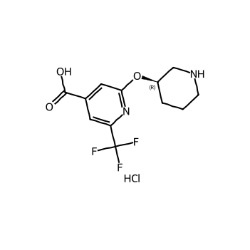 Cl.O=C(O)c1cc(O[C@@H]2CCCNC2)nc(C(F)(F)F)c1